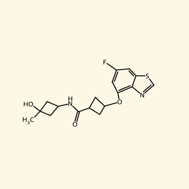 CC1(O)CC(NC(=O)C2CC(Oc3cc(F)cc4scnc34)C2)C1